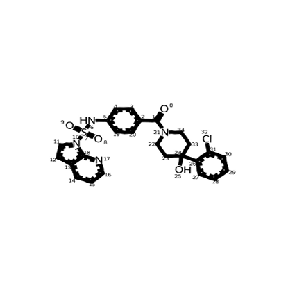 O=C(c1ccc(NS(=O)(=O)n2ccc3cccnc32)cc1)N1CCC(O)(c2ccccc2Cl)CC1